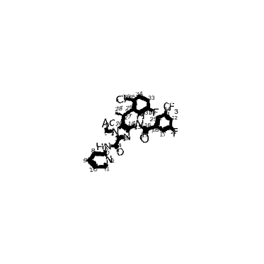 CC(=O)Cn1c(C(=O)Nc2ccccn2)nc(NC(=O)c2cc(F)cc(C(F)(F)F)c2)c1[C@@H](C)c1cc(F)ccc1Cl